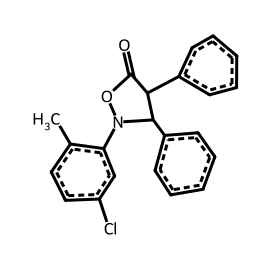 Cc1ccc(Cl)cc1N1OC(=O)C(c2ccccc2)C1c1ccccc1